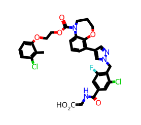 Cc1c(Cl)cccc1OCCOC(=O)N1CCCOc2c(-c3cnn(Cc4c(F)cc(C(=O)NCC(=O)O)cc4Cl)c3)cccc21